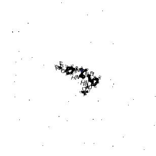 CC(C)(C)OC(=O)NC(C(=O)N1CC(=N)/C(=C\NSc2ccc(OC(F)F)cc2)C1)c1cccc(F)c1